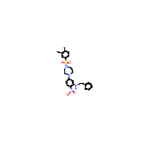 Cc1ccc(S(=O)(=O)N2CCN(c3ccc([N+](=O)[O-])c(NCc4ccccc4)c3)CC2)cc1C